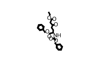 CCOC(=O)CC(=O)CCC(NC(=O)OCc1ccccc1)C(=O)OCc1ccccc1